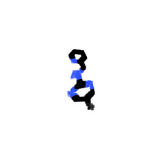 CC(C)c1cnc(NCc2ccccn2)nc1